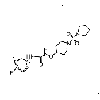 O=C(NOC1CCN(S(=O)(=O)N2CCCC2)CC1)Nc1ccc(F)cc1